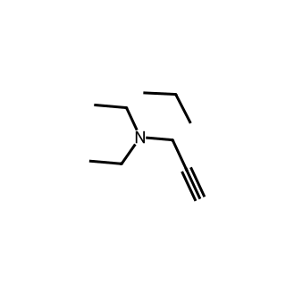 C#CCN(CC)CC.CCC